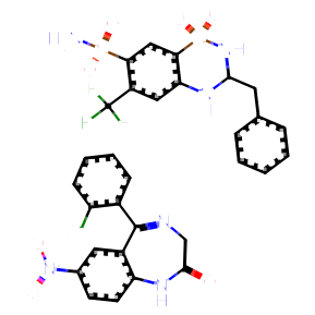 NS(=O)(=O)c1cc2c(cc1C(F)(F)F)NC(Cc1ccccc1)NS2(=O)=O.O=C1CN=C(c2ccccc2Cl)c2cc([N+](=O)[O-])ccc2N1